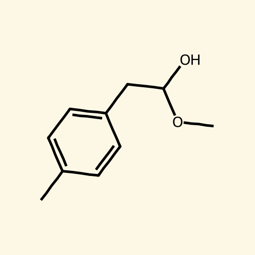 COC(O)Cc1ccc(C)cc1